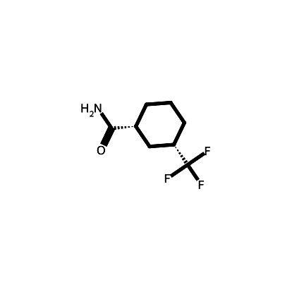 NC(=O)[C@@H]1CCC[C@H](C(F)(F)F)C1